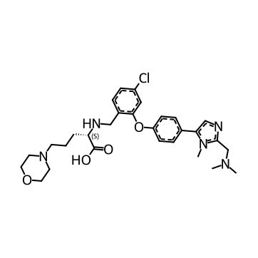 CN(C)Cc1ncc(-c2ccc(Oc3cc(Cl)ccc3CN[C@@H](CCCN3CCOCC3)C(=O)O)cc2)n1C